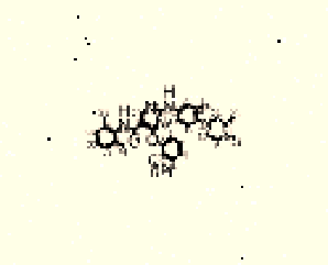 CCCOc1ccccc1Oc1nc(Nc2ccc(N3CCN(C)C(C)C3)c(F)c2)ncc1C(=O)Nc1c(C)cccc1C